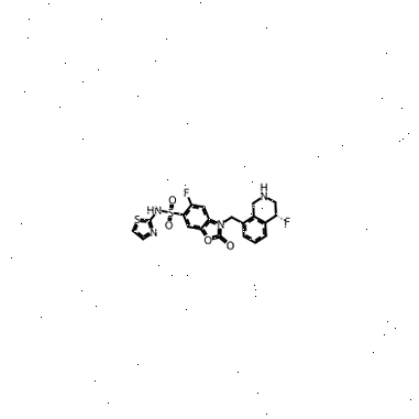 O=c1oc2cc(S(=O)(=O)Nc3nccs3)c(F)cc2n1Cc1cccc2c1CNC[C@@H]2F